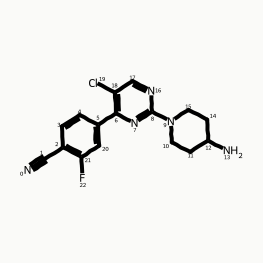 N#Cc1ccc(-c2nc(N3CCC(N)CC3)ncc2Cl)cc1F